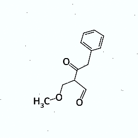 COCC(C=O)C(=O)Cc1ccccc1